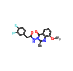 CCc1nc2c(OC(F)(F)F)cccc2c(=O)n1NC(=O)Cc1ccc(F)c(F)c1